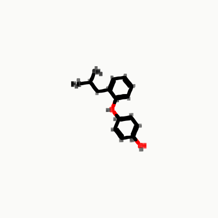 CC(C)Cc1ccccc1Oc1ccc(O)cc1